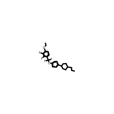 CCCC1CCC(c2ccc(OC(F)(F)c3ccc(OCC)c(F)c3F)cc2)CC1